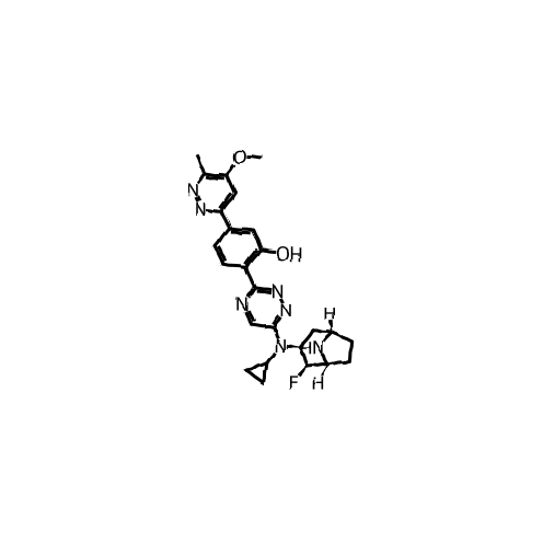 COc1cc(-c2ccc(-c3ncc(N(C4CC4)[C@H]4C[C@@H]5CC[C@@H](N5)[C@H]4F)nn3)c(O)c2)nnc1C